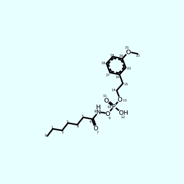 CCCCCCC(=O)NOP(=O)(O)OCCc1cccc(OC)c1